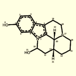 Oc1ccc2c3c4n(c2c1)C(O)C[C@H]1CCCN(CC3)[C@@H]41